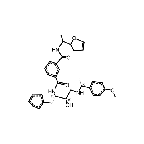 COc1ccc([C@@H](C)NC[C@@H](O)[C@H](Cc2ccccc2)NC(=O)c2cccc(C(=O)NC(C)C3CC=CO3)c2)cc1